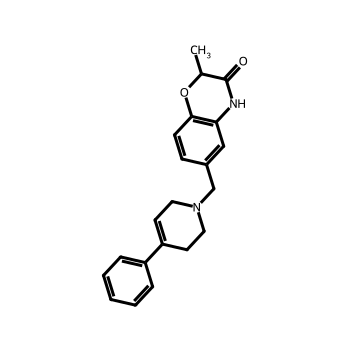 CC1Oc2ccc(CN3CC=C(c4ccccc4)CC3)cc2NC1=O